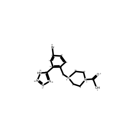 O=C(O)N1CCN(Cc2ccc(Br)cc2-c2nnn[nH]2)CC1